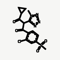 Cn1nnnc1C(C(=O)c1ccc(S(C)(=O)=O)cc1Cl)C(=O)C1CC1